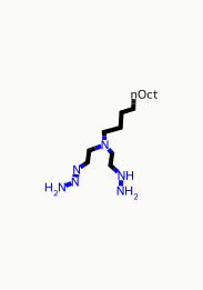 CCCCCCCCCCCCN(CCN=NN)CCNN